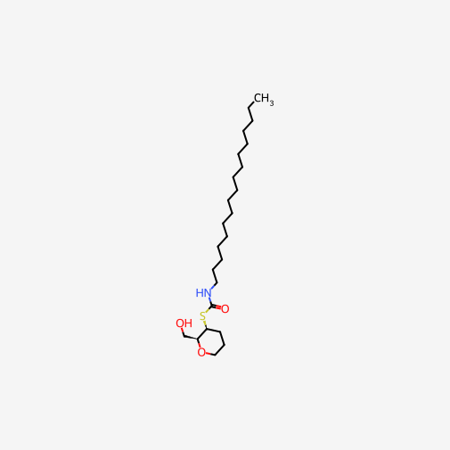 CCCCCCCCCCCCCCCCCNC(=O)S[C@H]1CCCO[C@H]1CO